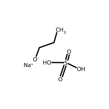 CCC[O-].O=S(=O)(O)O.[Na+]